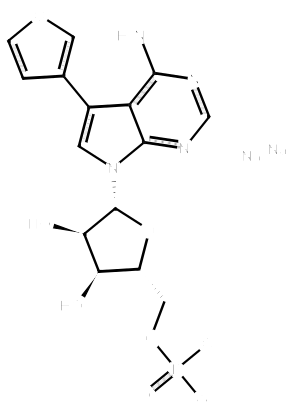 Nc1ncnc2c1c(-c1ccoc1)cn2[C@@H]1O[C@H](COP(=O)([O-])[O-])[C@@H](O)[C@H]1O.[Na+].[Na+]